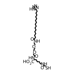 O=C(CS)NCCCCC(NC(=O)COCCOCCNC(=O)CCCCCCCCCCCCCCCc1nnn[nH]1)C(=O)O